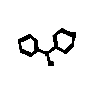 CCN(c1ccccc1)c1ccncc1